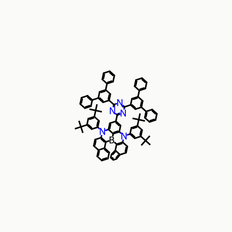 CC(C)(C)c1cc(N2c3cc(-c4nc(-c5cc(-c6ccccc6)cc(-c6ccccc6)c5)nc(-c5cc(-c6ccccc6)cc(-c6ccccc6)c5)n4)cc4c3B(c3c2ccc2ccccc32)c2c(ccc3ccccc23)N4c2cc(C(C)(C)C)cc(C(C)(C)C)c2)cc(C(C)(C)C)c1